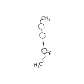 CCCCc1ccc(C#C[C@H]2CC[C@H]([C@H]3CC[C@H](CC)CC3)CC2)cc1F